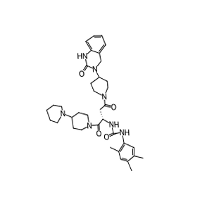 Cc1cc(C)c(NC(=O)N[C@@H](CC(=O)N2CCC(N3Cc4ccccc4NC3=O)CC2)C(=O)N2CCC(N3CCCCC3)CC2)cc1C